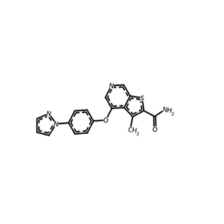 Cc1c(C(N)=O)sc2cncc(Oc3ccc(-n4cccn4)cc3)c12